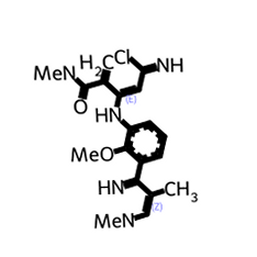 C=C(C(=O)NC)/C(=C\C(=N)Cl)Nc1cccc(C(=N)/C(C)=C\NC)c1OC